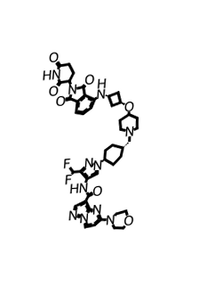 O=C1CCC(N2C(=O)c3cccc(N[C@H]4C[C@H](OC5CCN(C[C@H]6CC[C@H](n7cc(NC(=O)c8cnn9ccc(N%10CCOCC%10)nc89)c(C(F)F)n7)CC6)CC5)C4)c3C2=O)C(=O)N1